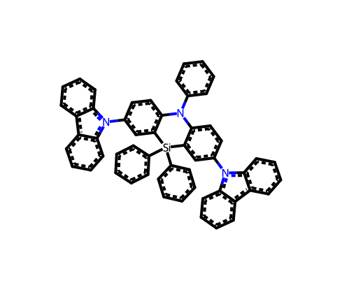 c1ccc(N2c3ccc(-n4c5ccccc5c5ccccc54)cc3[Si](c3ccccc3)(c3ccccc3)c3cc(-n4c5ccccc5c5ccccc54)ccc32)cc1